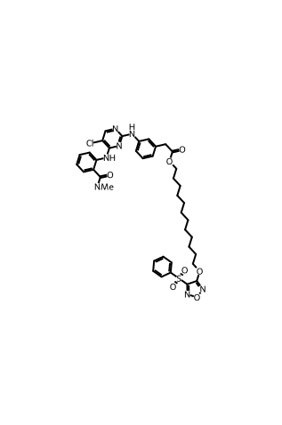 CNC(=O)c1ccccc1Nc1nc(Nc2cccc(CC(=O)OCCCCCCCCCCCCOc3nonc3S(=O)(=O)c3ccccc3)c2)ncc1Cl